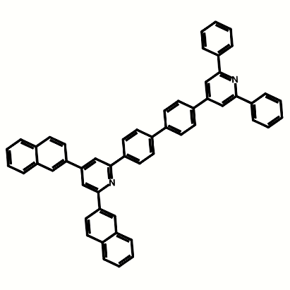 c1ccc(-c2cc(-c3ccc(-c4ccc(-c5cc(-c6ccc7ccccc7c6)cc(-c6ccc7ccccc7c6)n5)cc4)cc3)cc(-c3ccccc3)n2)cc1